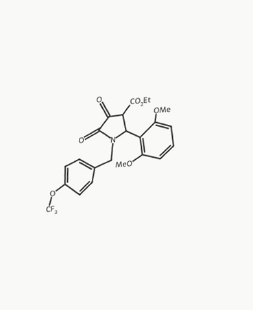 CCOC(=O)C1C(=O)C(=O)N(Cc2ccc(OC(F)(F)F)cc2)C1c1c(OC)cccc1OC